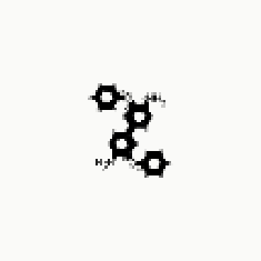 Nc1ccc(-c2ccc(N)c(Oc3ccccc3)c2)cc1Oc1ccccc1